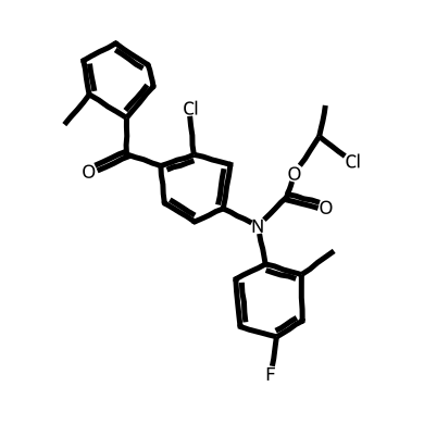 Cc1ccccc1C(=O)c1ccc(N(C(=O)OC(C)Cl)c2ccc(F)cc2C)cc1Cl